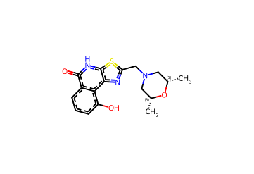 C[C@@H]1CN(Cc2nc3c([nH]c(=O)c4cccc(O)c43)s2)C[C@H](C)O1